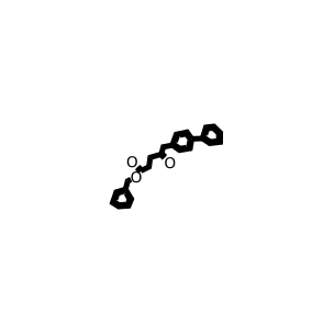 O=C(CCC(=O)OCc1ccccc1)Cc1ccc(-c2ccccc2)cc1